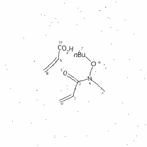 C=CC(=O)N(C)OCCCC.C=CC(=O)O